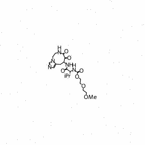 COCCOCCOC(=O)NC(C(=O)NC1Cc2cncn2CCNC(=O)C1=O)C(C)C